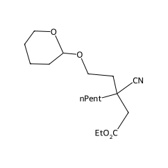 CCCCCC(C#N)(CCOC1CCCCO1)CC(=O)OCC